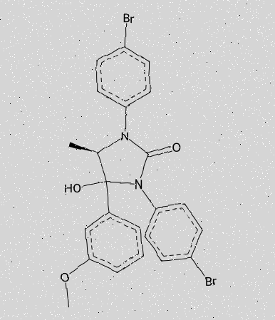 COc1cccc(C2(O)[C@@H](C)N(c3ccc(Br)cc3)C(=O)N2c2ccc(Br)cc2)c1